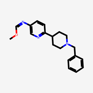 CO/C=N\c1ccc(C2CCN(Cc3ccccc3)CC2)nc1